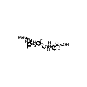 COc1cnc2c(-c3nc4cc(F)c(OC[C@@H](C)OC(=O)Nc5ccnc(C(=O)NCCO)c5)cc4s3)cc(C)cc2n1